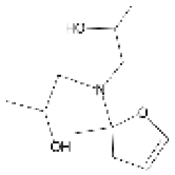 [CH2]C1(N(CC(C)O)CC(C)O)CC=CO1